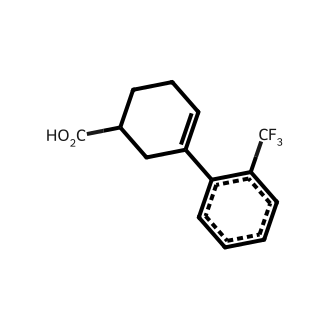 O=C(O)C1CCC=C(c2ccccc2C(F)(F)F)C1